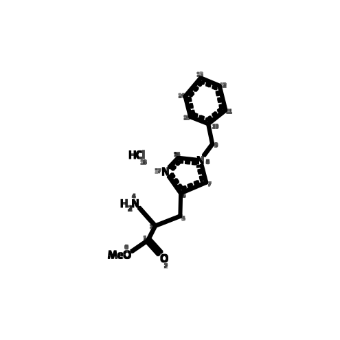 COC(=O)C(N)Cc1cn(Cc2ccccc2)cn1.Cl